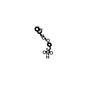 O=C1NC(=O)C(Cc2ccc(OCCO/N=C/c3cnc4ccccc4c3)cc2)S1